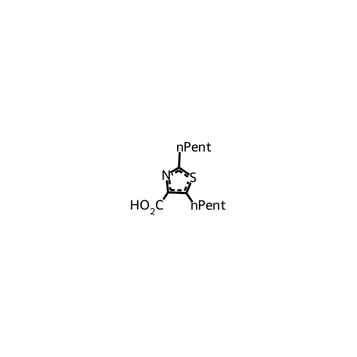 CCCCCc1nc(C(=O)O)c(CCCCC)s1